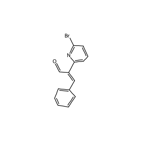 O=C/C(=C\c1ccccc1)c1cccc(Br)n1